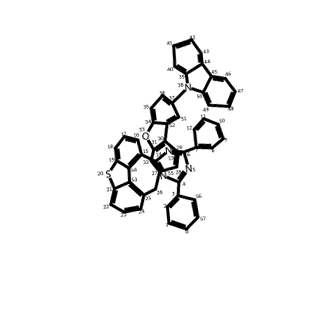 c1ccc(-c2nc(-c3ccccc3)nc(-c3cccc4sc5cccc(Cc6ccc7c(c6)oc6ccc(-n8c9ccccc9c9ccccc98)cc67)c5c34)n2)cc1